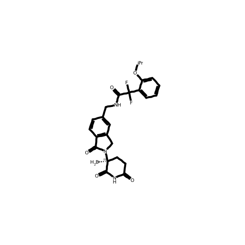 B[C@]1(N2Cc3cc(CNC(=O)C(F)(F)c4ccccc4OC(C)C)ccc3C2=O)CCC(=O)NC1=O